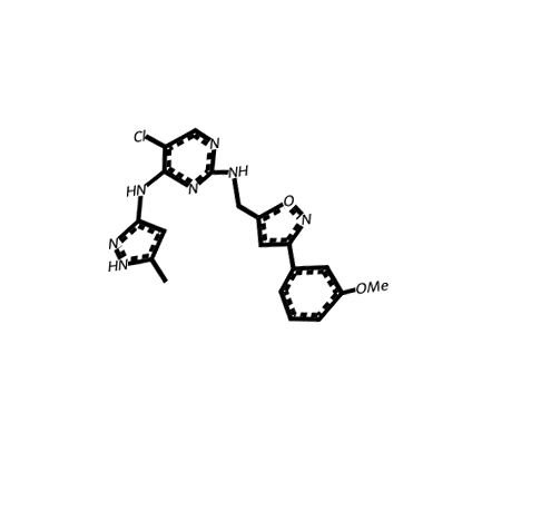 COc1cccc(-c2cc(CNc3ncc(Cl)c(Nc4cc(C)[nH]n4)n3)on2)c1